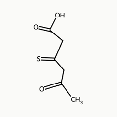 CC(=O)CC(=S)CC(=O)O